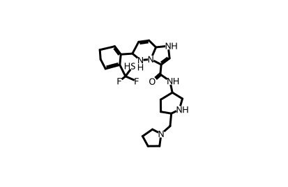 O=C(NC1CCC(CN2CCCC2)NC1)C1=CNC2C=CC(C3=CCCC=C3C(F)(F)S)NN12